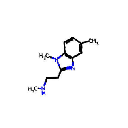 CNCCc1nc2cc(C)ccc2n1C